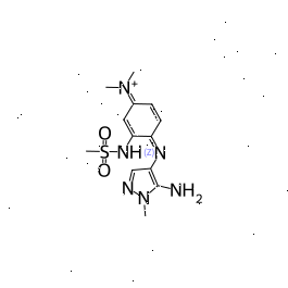 Cn1ncc(/N=C2/C=CC(=[N+](C)C)C=C2NS(C)(=O)=O)c1N